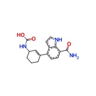 NC(=O)c1ccc(C2=CC(NC(=O)O)CCC2)c2cc[nH]c12